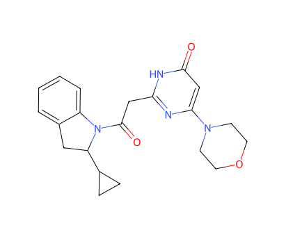 O=C(Cc1nc(N2CCOCC2)cc(=O)[nH]1)N1c2ccccc2CC1C1CC1